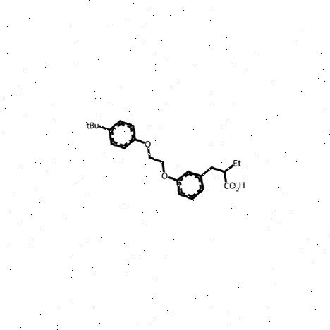 CCC(Cc1cccc(OCCOc2ccc(C(C)(C)C)cc2)c1)C(=O)O